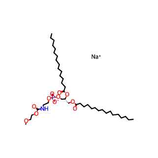 CCCCCCCCCCCCCCCC(=O)OC[C@H](COP(=O)([O-])OCCNC(=O)OCCOC)OC(=O)CCCCCCCCCCCCCCC.[Na+]